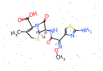 CO/N=C(\C(=O)N[C@@H]1C(=O)N2C(C(=O)O)=C(C)CS[C@H]12)c1csc(N)n1